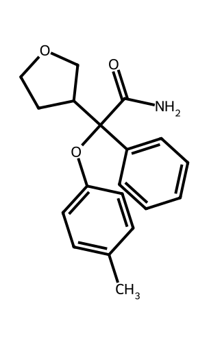 Cc1ccc(OC(C(N)=O)(c2ccccc2)C2CCOC2)cc1